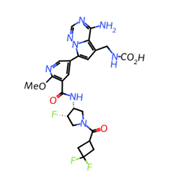 COc1ncc(-c2cc(CNC(=O)O)c3c(N)ncnn23)cc1C(=O)N[C@@H]1CN(C(=O)C2CC(F)(F)C2)C[C@@H]1F